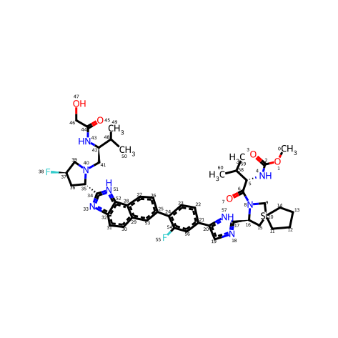 COC(=O)N[C@H](C(=O)N1C[Si]2(CCCC2)C[C@H]1c1ncc(-c2ccc(-c3ccc4c(ccc5nc([C@@H]6C[C@@H](F)CN6C[C@@H](NC(=O)CO)C(C)C)[nH]c54)c3)c(F)c2)[nH]1)C(C)C